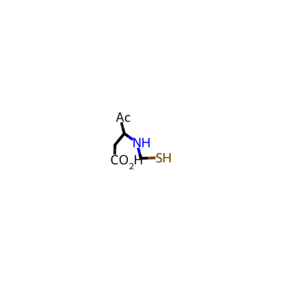 CC(=O)C(CC(=O)O)NCS